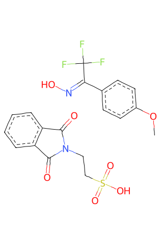 COc1ccc(C(=NO)C(F)(F)F)cc1.O=C1c2ccccc2C(=O)N1CCS(=O)(=O)O